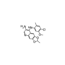 COc1cc(Nc2c(N)cnc3cc4c(cc23)OC(C)O4)c(C)cc1Cl